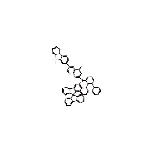 CN1CC(N(c2ccc3c(c2)-c2ccccc2C32c3ccccc3-c3ccccc32)c2cccc(-c3ccccc3)c2-c2ccccc2)=Nc2ncc(-c3ccc4c(c3)C(C)(C)c3ccccc3-4)cc21